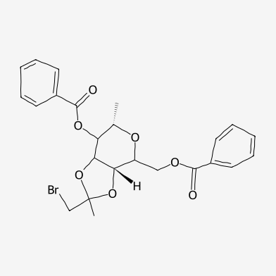 C[C@@H]1OC(COC(=O)c2ccccc2)[C@@H]2OC(C)(CBr)OC2C1OC(=O)c1ccccc1